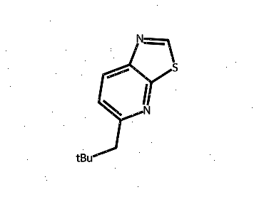 CC(C)(C)Cc1ccc2ncsc2n1